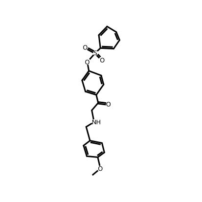 COc1ccc(CNCC(=O)c2ccc(OS(=O)(=O)c3ccccc3)cc2)cc1